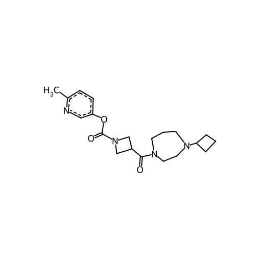 Cc1ccc(OC(=O)N2CC(C(=O)N3CCCN(C4CCC4)CC3)C2)cn1